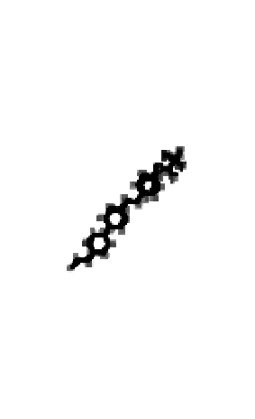 CCCC1CCC(C2CCC(CCc3ccc(OC(F)C(F)(F)F)cc3)CC2)CC1